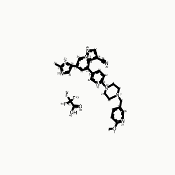 COc1ccc(CN2CCN(c3ccc(-c4cc(-c5cnc(C)s5)cn5ncc(C#N)c45)cn3)CC2)cn1.O=C(O)C(F)(F)F